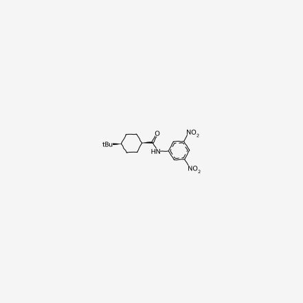 CC(C)(C)[C@H]1CC[C@@H](C(=O)Nc2cc([N+](=O)[O-])cc([N+](=O)[O-])c2)CC1